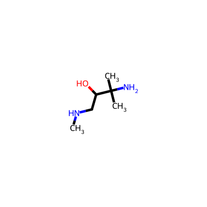 CNCC(O)C(C)(C)N